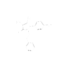 CC(=O)C1=C(O)C(=O)N(CCc2ccccc2)C1c1ccc(C(F)(F)F)cc1